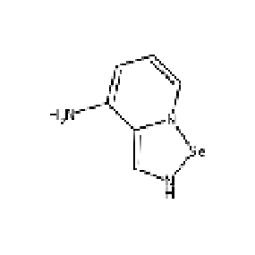 NC1=CC=CN2[Se]NC=C12